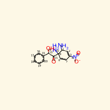 NC1C=C([N+](=O)[O-])C=CC1(N)C(=O)C(O)c1ccccc1